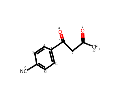 N#Cc1ccc(C(=O)CC(=O)C(F)(F)F)cc1